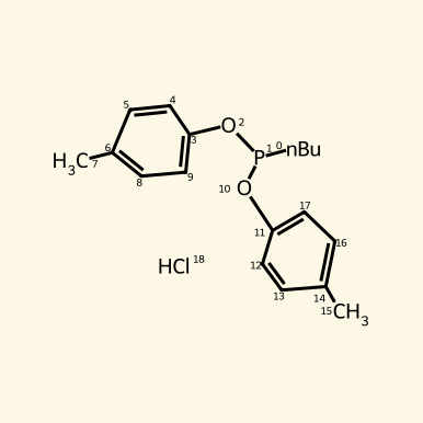 CCCCP(Oc1ccc(C)cc1)Oc1ccc(C)cc1.Cl